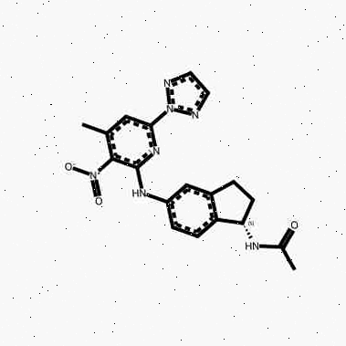 CC(=O)N[C@H]1CCc2cc(Nc3nc(-n4nccn4)cc(C)c3[N+](=O)[O-])ccc21